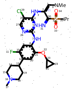 CN/C=C(/Nc1nc(Nc2cc(F)c(C3CCN(C)CC3)cc2OC2CC2)ncc1Cl)C(=N)S(=O)(=O)C(C)C